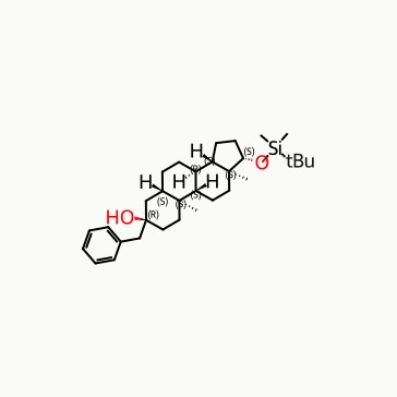 CC(C)(C)[Si](C)(C)O[C@H]1CC[C@H]2[C@@H]3CC[C@H]4C[C@@](O)(Cc5ccccc5)CC[C@]4(C)[C@H]3CC[C@]12C